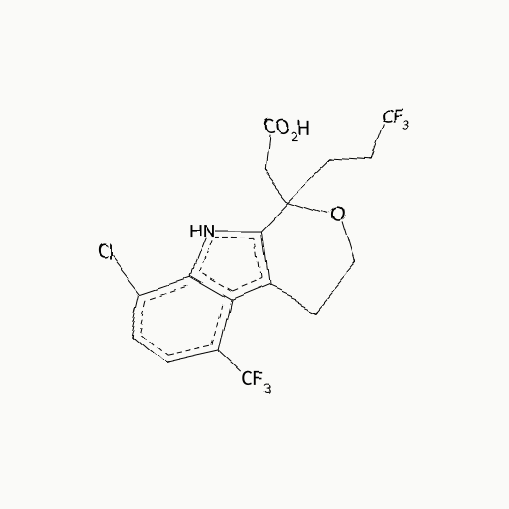 O=C(O)CC1(CCC(F)(F)F)OCCc2c1[nH]c1c(Cl)ccc(C(F)(F)F)c21